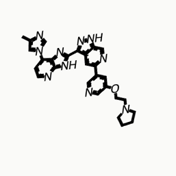 Cc1cn(-c2ccnc3[nH]c(-c4n[nH]c5cnc(-c6cncc(OCCN7CCCC7)c6)cc45)nc23)cn1